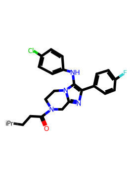 CC(C)CCC(=O)N1CCn2c(nc(-c3ccc(F)cc3)c2Nc2ccc(Cl)cc2)C1